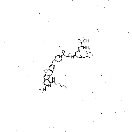 CCCCCNc1nc(N)nc2ccn(Cc3ccc(CN4CCN(C(=O)CO/N=C(/CSCC(C)N)CSC[C@H](N)C(=O)O)CC4)cc3OC)c12